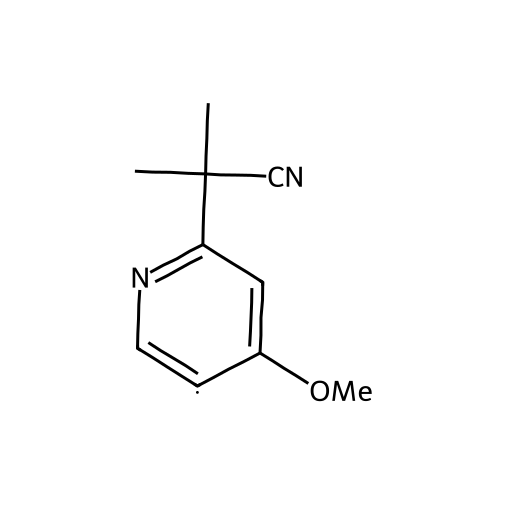 COc1[c]cnc(C(C)(C)C#N)c1